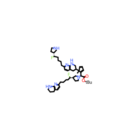 CC(C)(C)OC(=O)C(C1=CC=CC1(C)C1CNc2nc(CCCCC(F)[C@@H]3CCNC3)ccc2C1)N1CC[C@@H](C(F)CCCCc2ccc3c(n2)NCCC3)C1